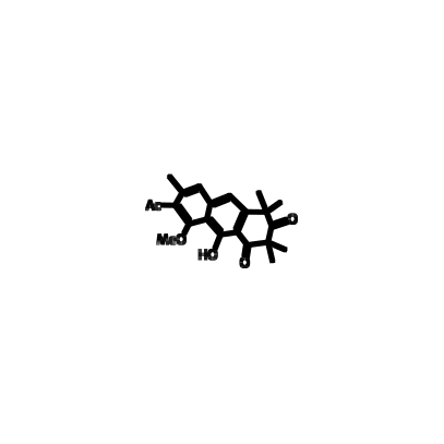 COc1c(C(C)=O)c(C)cc2cc3c(c(O)c12)C(=O)C(C)(C)C(=O)C3(C)C